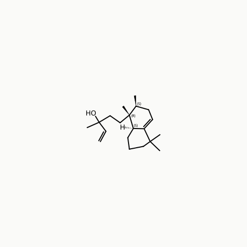 C=CC(C)(O)CC[C@@]1(C)[C@@H]2CCCC(C)(C)C2=CC[C@@H]1C